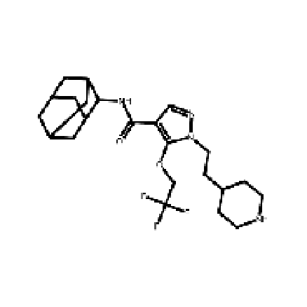 O=C(NC1C2CC3CC(C2)CC1C3)c1cnn(CCC2CCNCC2)c1OCC(F)(F)F